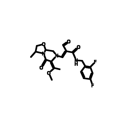 CO/C(C)=C1\C(=O)N2C(C)COC2CN1/C=C(\C=O)C(=O)NCc1ccc(F)cc1F